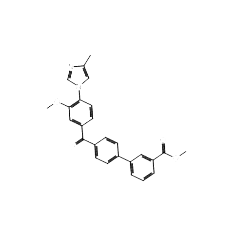 COC(=O)c1cccc(-c2ccc(C(=O)c3ccc(-n4cnc(C)c4)c(OC)c3)cc2)c1